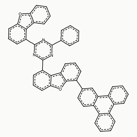 c1ccc(-c2nc(-c3cccc4oc5ccccc5c34)nc(-c3cccc4oc5c(-c6ccc7c8ccccc8c8ccccc8c7c6)cccc5c34)n2)cc1